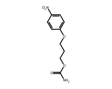 NC(=O)OCCCOc1ccc([N+](=O)[O-])cc1